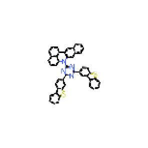 c1ccc2cc3c(cc2c1)-c1cccc2cccc(c12)N3c1nc(-c2ccc3c(c2)sc2ccccc23)nc(-c2ccc3sc4ccccc4c3c2)n1